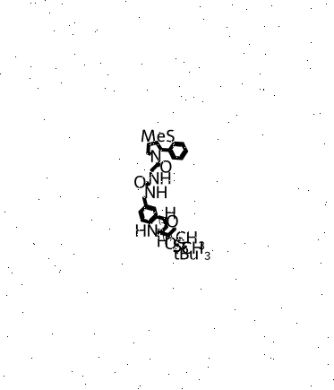 CSc1ccccc1C1CCCN1C(=O)CNC(=O)NCc1ccc2c(c1)[C@@H]1C[C@@H](N2)[C@H](O[Si](C)(C)C(C)(C)C)CO1